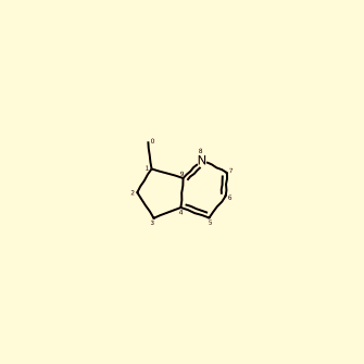 CC1CCc2cccnc21